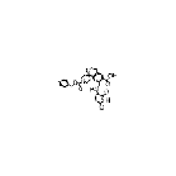 O=C1CCC(NCc2cc3c(cc2C(=O)O)CCOC32CCN(C(=O)OCc3ccccc3)CC2)C(=O)N1